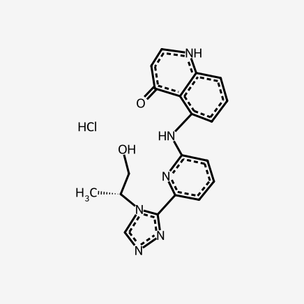 C[C@H](CO)n1cnnc1-c1cccc(Nc2cccc3[nH]ccc(=O)c23)n1.Cl